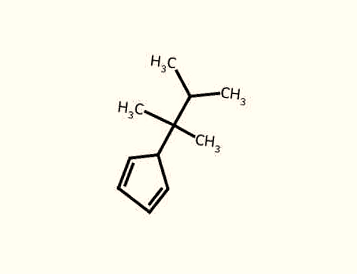 C[C](C)C(C)(C)C1C=CC=C1